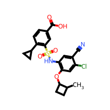 CC1CCC1Oc1cc(Cl)c(C#N)cc1NS(=O)(=O)c1cc(C(=O)O)ccc1C1CC1